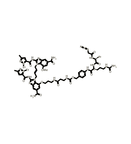 CCn1nc(C)cc1C(=O)Nc1nc2cc(C(N)=O)cc(OC)c2n1C/C=C/Cn1c(NC(=O)c2cc(C)nn2CC)nc2cc(C(N)=O)cc(OCCCNC(=O)CCNC(=O)OCc3ccc(NC(=O)[C@H](CCCNC(N)=O)NC(=O)[C@@H](NC(=O)CN=[N+]=[N-])C(C)C)cc3)c21